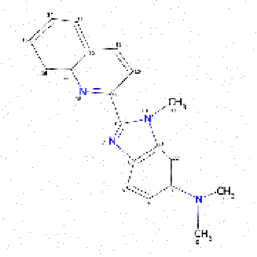 CN(C)c1ccc2nc(-c3ccc4ccccc4n3)n(C)c2c1